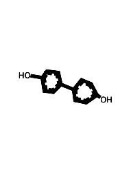 Oc1[c]cc(-c2ccc(O)cc2)cc1